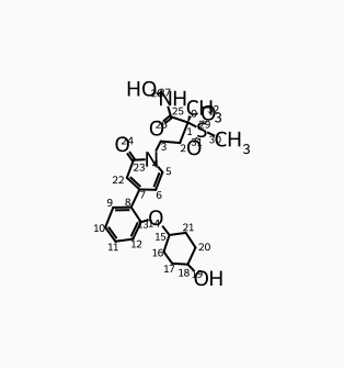 C[C@@](CCn1ccc(-c2ccccc2OC2CCC(O)CC2)cc1=O)(C(=O)NO)S(C)(=O)=O